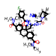 CN(C)C(=O)c1ccc2c(c1)CCc1cc(C(=O)N(C)C)ccc1C2(CCNCC(=O)N1[C@H](C#N)C[C@@H]2C[C@@H]21)c1nnc(-c2ccc(F)cc2)o1